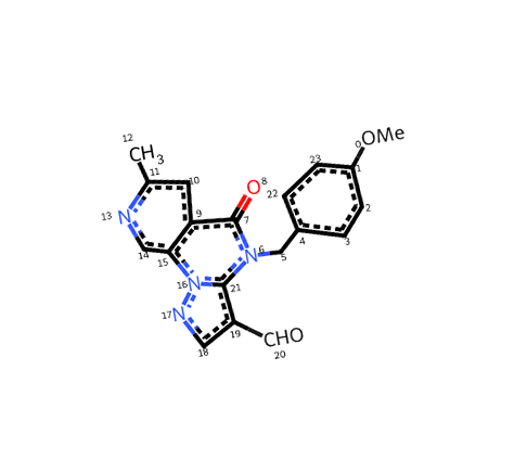 COc1ccc(Cn2c(=O)c3cc(C)ncc3n3ncc(C=O)c23)cc1